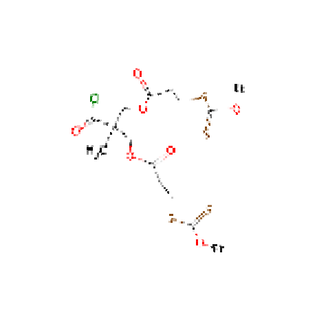 CCOC(=S)SCCC(=O)OCC(C)(COC(=O)CCSC(=S)OCC)C(=O)Cl